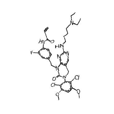 C=CC(=O)Nc1ccc(CN2C(=O)N(c3c(Cl)c(OC)cc(OC)c3Cl)Cc3cnc(NCCCCN(CC)CC)nc32)cc1F